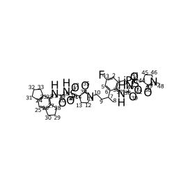 CC(C)c1cc(F)cc(C(C)CCN2CCC(S(=O)(=O)NC(=O)Nc3c4c(cc5c3CCC5)CCC4)C2=O)c1NC(=O)NS(=O)(=O)C1CCN(C)C1=O